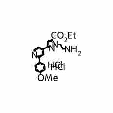 CCOC(=O)c1cc(-c2ccnc(-c3ccc(OC)cc3)c2)nn1CCN.Cl.Cl